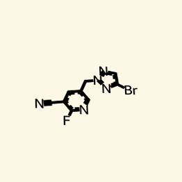 N#Cc1cc(Cn2ncc(Br)n2)cnc1F